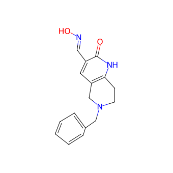 O=c1[nH]c2c(cc1C=NO)CN(Cc1ccccc1)CC2